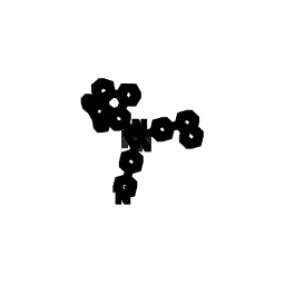 c1ccc2c(c1)-c1ccccc1C1(c3ccc(-c4nc(-c5ccc(-c6ccncc6)cc5)nc(-c5ccc(-c6cccc7ccccc67)cc5)n4)cc3-2)c2ccccc2-c2ccccc21